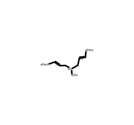 CCCCC/C=C/C[SiH](C/C=C/CCCCC)CCCCCCCCCC